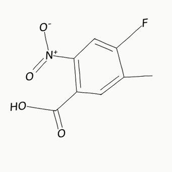 Cc1cc(C(=O)O)c([N+](=O)[O-])cc1F